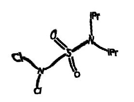 CC(C)N(C(C)C)S(=O)(=O)N(Cl)Cl